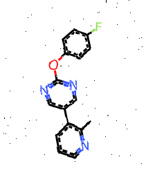 Cc1ncccc1-c1cnc(Oc2ccc(F)cc2)nc1